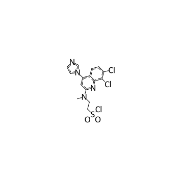 CN(CCS(=O)(=O)Cl)c1cc(-n2ccnc2)c2ccc(Cl)c(Cl)c2n1